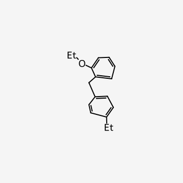 CCOc1ccccc1Cc1ccc(CC)cc1